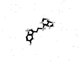 Fc1ccc2[nH]cc(CCNc3ncnc4scnc34)c2c1